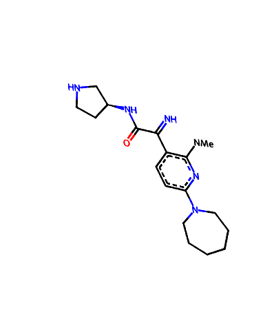 CNc1nc(N2CCCCCC2)ccc1C(=N)C(=O)N[C@H]1CCNC1